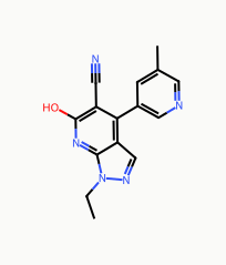 CCn1ncc2c(-c3cncc(C)c3)c(C#N)c(O)nc21